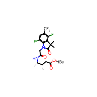 C[C@H](NC(=O)CN1C(=O)C(C)(C)c2c(F)c(C(F)(F)F)cc(F)c21)[C@@H](C)CC(=O)OC(C)(C)C